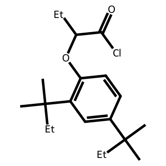 CCC(Oc1ccc(C(C)(C)CC)cc1C(C)(C)CC)C(=O)Cl